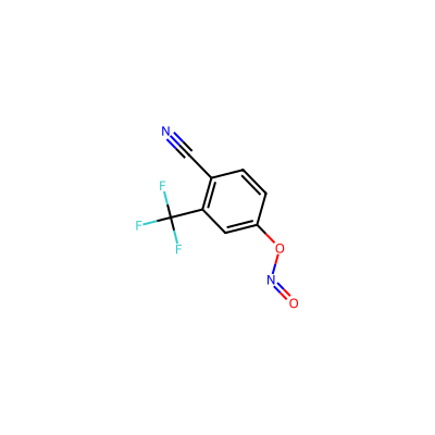 N#Cc1ccc(ON=O)cc1C(F)(F)F